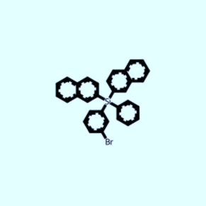 Brc1cccc([Si](c2ccccc2)(c2ccc3ccccc3c2)c2ccc3ccccc3c2)c1